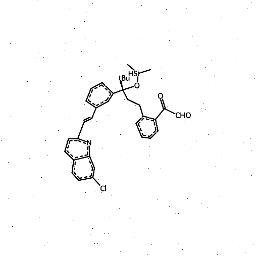 C[SiH](C)O[C@](CCc1ccccc1C(=O)C=O)(c1cccc(C=Cc2ccc3ccc(Cl)cc3n2)c1)C(C)(C)C